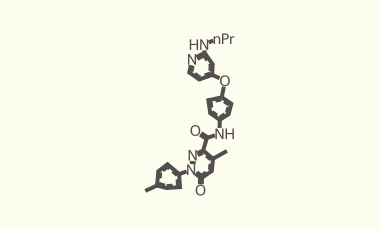 CCCNc1cc(Oc2ccc(NC(=O)c3nn(-c4ccc(C)cc4)c(=O)cc3C)cc2)ccn1